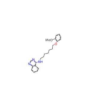 COc1ccccc1OCCCCCCCNc1ncnc2ccccc12